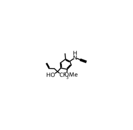 C#CNc1cc(OC)c(C(O)(CC=C)C(F)(F)F)cc1C